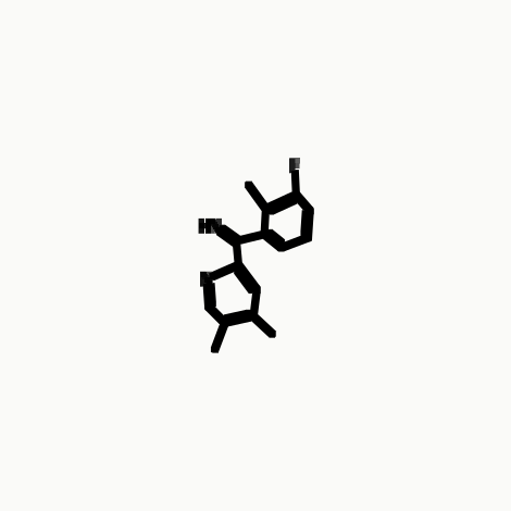 Cc1cnc(C(=N)c2cccc(F)c2C)cc1C